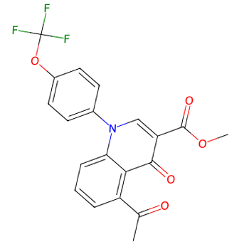 COC(=O)c1cn(-c2ccc(OC(F)(F)F)cc2)c2cccc(C(C)=O)c2c1=O